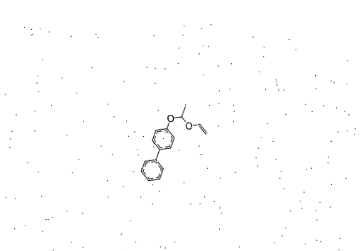 C=COC(C)Oc1ccc(-c2ccccc2)cc1